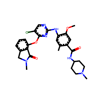 COc1cc(C(=O)NC2CCN(C)CC2)c(C)cc1Nc1ncc(Cl)c(Oc2cccc3c2C(=O)N(C)C3)n1